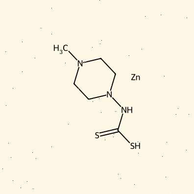 CN1CCN(NC(=S)S)CC1.[Zn]